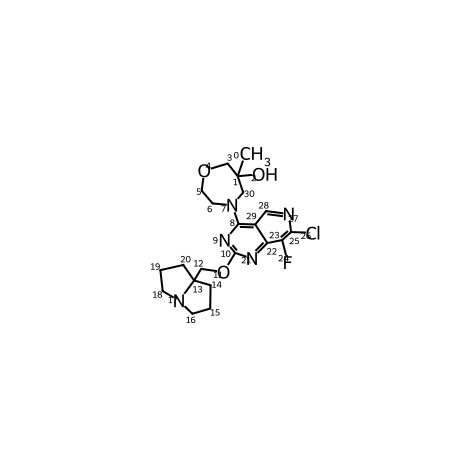 CC1(O)COCCN(c2nc(OCC34CCCN3CCC4)nc3c(F)c(Cl)ncc23)C1